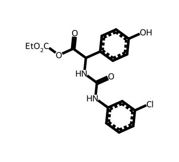 CCOC(=O)OC(=O)C(NC(=O)Nc1cccc(Cl)c1)c1ccc(O)cc1